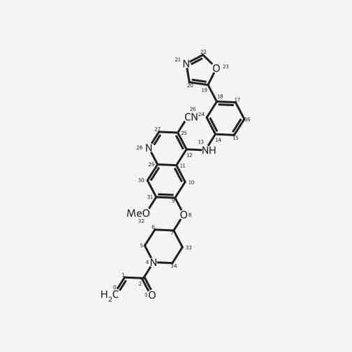 C=CC(=O)N1CCC(Oc2cc3c(Nc4cccc(-c5cnco5)c4)c(C#N)cnc3cc2OC)CC1